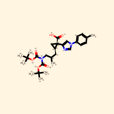 Cc1ccc(-n2cnc([C@@]3(C(=O)O)C[C@@H]3CC(C)CN(C(=O)OC(C)(C)C)C(=O)OC(C)(C)C)c2)cc1